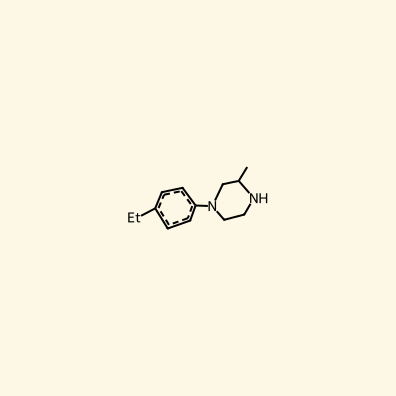 CCc1ccc(N2CCNC(C)C2)cc1